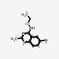 CCONc1nc(C)nc2ccc(Br)cc12